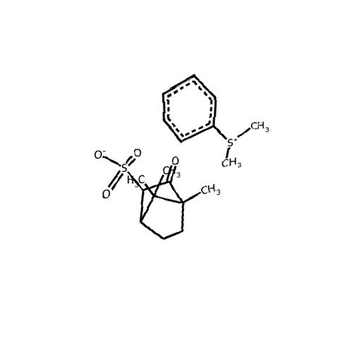 CC12CCC(C(S(=O)(=O)[O-])C1=O)C2(C)C.C[S+](C)c1ccccc1